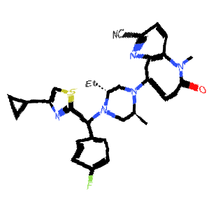 CC[C@@H]1CN(c2cc(=O)n(C)c3ccc(C#N)nc23)[C@@H](C)CN1C(c1ccc(F)cc1)c1nc(C2CC2)cs1